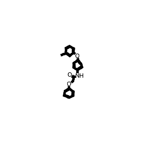 Cc1cccc(Oc2ccc(NC(=O)COc3ccccc3)cc2)c1